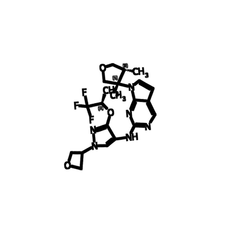 C[C@@H](Oc1nn(C2COC2)cc1Nc1ncc2ccn([C@]3(C)COC[C@@H]3C)c2n1)C(F)(F)F